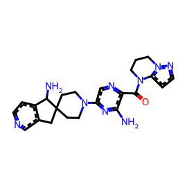 Nc1nc(N2CCC3(CC2)Cc2cnccc2C3N)cnc1C(=O)N1CCCn2nccc21